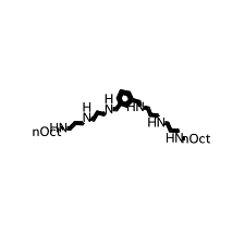 CCCCCCCCNCCCNCCCNCc1cccc(CNCCCNCCCNCCCCCCCC)c1